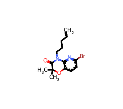 C=CCCCN1C(=O)C(C)(C)Oc2ccc(Br)nc21